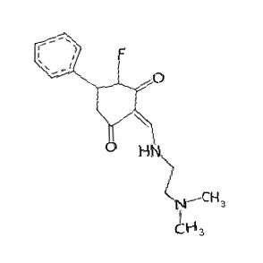 CN(C)CCN/C=C1\C(=O)CC(c2ccccc2)C(F)C1=O